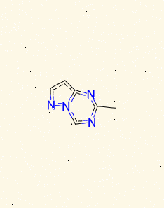 Cc1n[c]n2nccc2n1